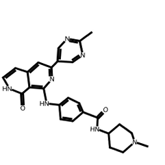 Cc1ncc(-c2cc3cc[nH]c(=O)c3c(Nc3ccc(C(=O)NC4CCN(C)CC4)cc3)n2)cn1